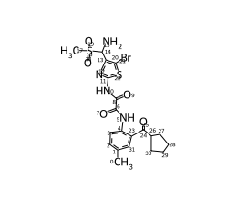 Cc1ccc(NC(=O)C(=O)Nc2nc(C(N)S(C)(=O)=O)c(Br)s2)c(C(=O)C2CCCC2)c1